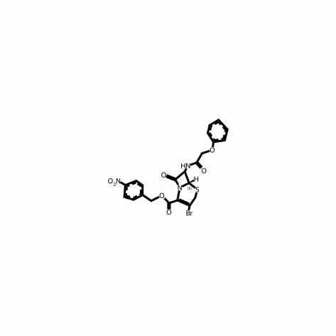 O=C(COc1ccccc1)NC1C(=O)N2C(C(=O)OCc3ccc([N+](=O)[O-])cc3)=C(Br)CS[C@@H]12